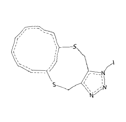 In1nnc2c1CSc1cccccccc(c1)SC2